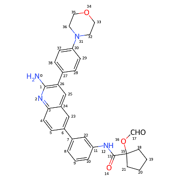 Nc1nc2ccc(-c3cccc(NC(=O)C4(OC=O)CCCC4)c3)cc2cc1-c1ccc(N2CCOCC2)cc1